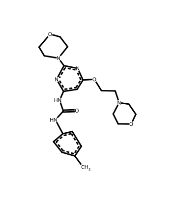 Cc1ccc(NC(=O)Nc2cc(OCCN3CCOCC3)nc(N3CCOCC3)n2)cc1